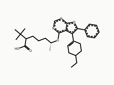 CCC1CC=C(c2c(-c3ccccc3)oc3ncnc(O[C@H](C)CCCC(C(=O)O)C(C)(C)C)c23)CC1